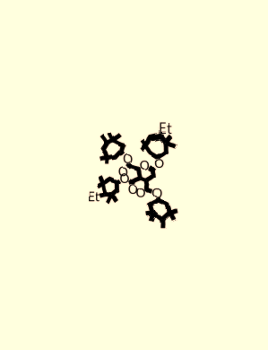 CCC1=CC(C)(C)CC(OC(=O)CC(C(=O)OC2CC(C)(C)C(C)C(C)(C)C2)C(CC(=O)OC2CC(C)(C)C=C(C)C(C)(C)C2)C(=O)OC2CC(C)(C)C(CC)C(C)(C)C2)CC1(C)C